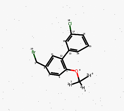 [2H]C([2H])([2H])Oc1ccc(CBr)cc1-c1cccc(Cl)c1